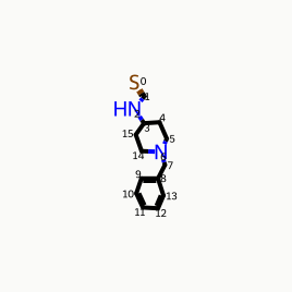 S=CNC1CCN(Cc2ccccc2)CC1